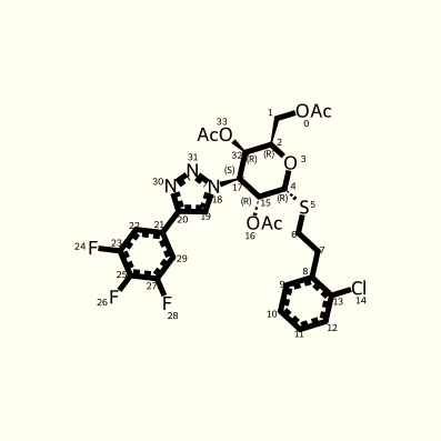 CC(=O)OC[C@H]1O[C@H](SCCc2ccccc2Cl)[C@H](OC(C)=O)[C@@H](n2cc(-c3cc(F)c(F)c(F)c3)nn2)[C@H]1OC(C)=O